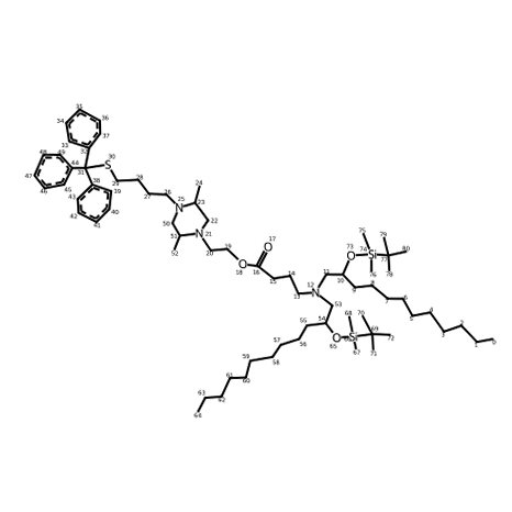 CCCCCCCCCCC(CN(CCCC(=O)OCCN1CC(C)N(CCCCSC(c2ccccc2)(c2ccccc2)c2ccccc2)CC1C)CC(CCCCCCCCCC)O[Si](C)(C)C(C)(C)C)O[Si](C)(C)C(C)(C)C